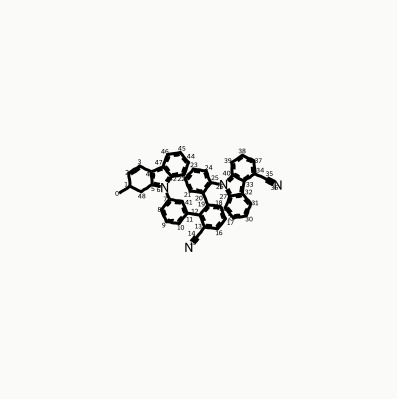 CC1C=Cc2c(n(-c3cccc(-c4c(C#N)cccc4-c4ccccc4-n4c5ccccc5c5c(C#N)cccc54)c3)c3ccccc23)C1